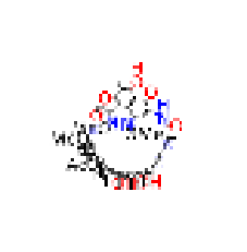 CO/N=C1/c2c3c(C)c(O)c4c2/C(=N/OC)C=C(NC(=O)/C(C)=C\C=C\[C@H](C)[C@H](O)[C@@H](C)[C@@H](O)[C@@H](C)[C@H](OC(C)=O)[C@H](C)[C@@H](OC)/C=C/O[C@@]1(C)O3)C4=O